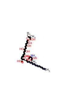 C/C=C/C=C/C=C/C=C/C=C/C=C/C=C/[C@@H](C[C@@H]1O[C@](O)(CCC[C@@H](O)[C@H](O)CC[C@@H](O)C[C@@H](O)CC(=O)O[C@@H](C)[C@H](C)CO)CC[C@H]1C(=O)O)OC1OC(C)C(O)C(N)C1O